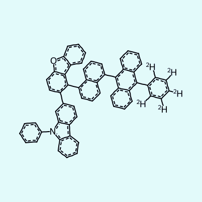 [2H]c1c([2H])c([2H])c(-c2c3ccccc3c(-c3cccc4c(-c5c(-c6ccc7c8ccccc8n(-c8ccccc8)c7c6)ccc6oc7ccccc7c56)cccc34)c3ccccc23)c([2H])c1[2H]